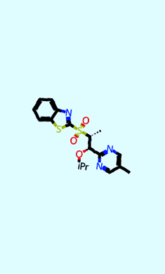 Cc1cnc([C@@H](OC(C)C)[C@@H](C)S(=O)(=O)c2nc3ccccc3s2)nc1